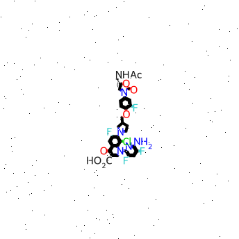 CC(=O)NC[C@H]1CN(c2ccc(OCC3CCN(c4c(F)cc5c(=O)c(C(=O)O)cn(-c6nc(N)c(F)cc6F)c5c4Cl)C3)c(F)c2)C(=O)O1